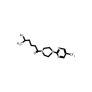 CC(=O)C(C)CCCC(=O)N1CCN(c2ncc(C(F)(F)F)cn2)CC1